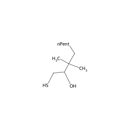 CCCCCCC(C)(C)C(O)CS